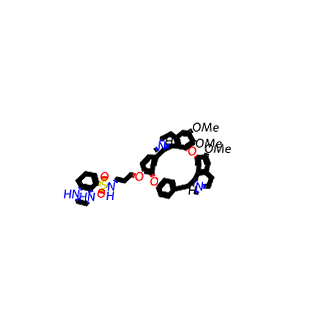 COc1cc2c3cc1Oc1c(OC)c(OC)cc4c1[C@@H](Cc1ccc(OCCCNS(=O)(=O)C5=CCCC6=C5NCCN6)c(c1)Oc1ccc(cc1)C[C@@H]3N(C)CC2)N(C)CC4